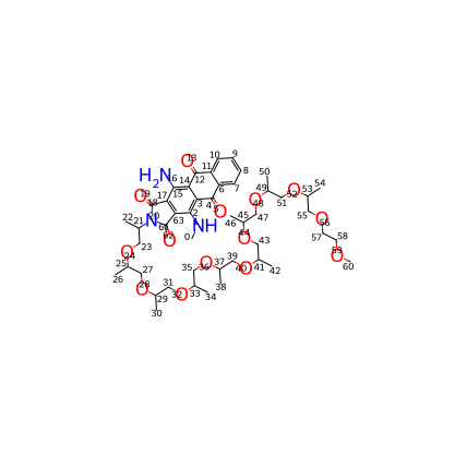 CNc1c2c(=O)c3ccccc3c(=O)c2c(N)c2c(=O)n(C(C)COC(C)COC(C)COC(C)COC(C)COC(C)COC(C)COC(C)COC(C)COCCOC)c(=O)c12